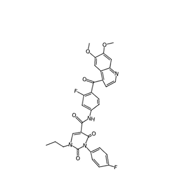 CCCn1cc(C(=O)Nc2ccc(C(=O)c3ccnc4cc(OC)c(OC)cc34)c(F)c2)c(=O)n(-c2ccc(F)cc2)c1=O